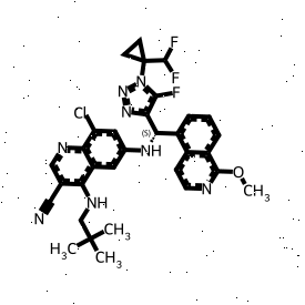 COc1nccc2c([C@H](Nc3cc(Cl)c4ncc(C#N)c(NCC(C)(C)C)c4c3)c3nnn(C4(C(F)F)CC4)c3F)cccc12